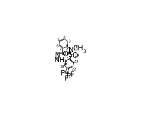 CN(c1ccccc1C=NN)S(=O)(=O)c1ccc(C(F)(F)F)cc1